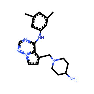 Cc1cc(C)cc(Nc2ncnn3ccc(CN4CCC(N)CC4)c23)c1